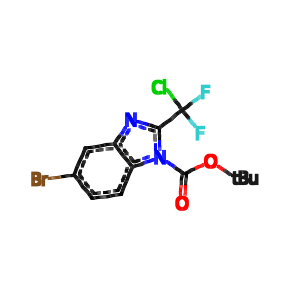 CC(C)(C)OC(=O)n1c(C(F)(F)Cl)nc2cc(Br)ccc21